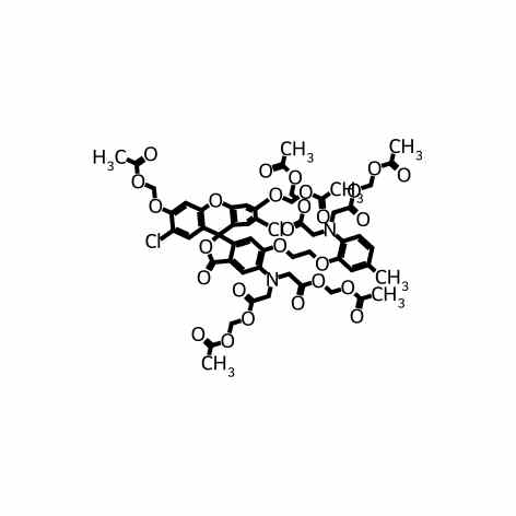 CC(=O)OCOC(=O)CN(CC(=O)OCOC(C)=O)c1ccc(C)cc1OCCOc1cc2c(cc1N(CC(=O)OCOC(C)=O)CC(=O)OCOC(C)=O)C(=O)OC21c2cc(Cl)c(OCOC(C)=O)cc2Oc2cc(OCOC(C)=O)c(Cl)cc21